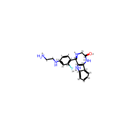 NCCNc1ccc(C2=NCC(=O)Nc3c2[nH]c2ccccc32)c(F)c1